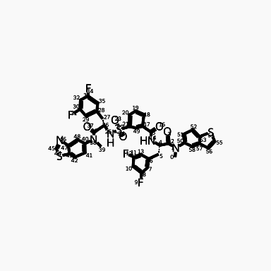 CN(C(=O)[C@H](Cc1cc(F)cc(F)c1)NC(=O)c1cccc(S(=O)(=O)N[C@@H](Cc2cc(F)cc(F)c2)C(=O)N(C)c2ccc3scnc3c2)c1)c1ccc2sccc2c1